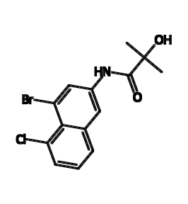 CC(C)(O)C(=O)Nc1cc(Br)c2c(Cl)cccc2c1